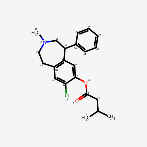 CC(C)CC(=O)Oc1cc2c(cc1Cl)CCN(C)CC2c1ccccc1